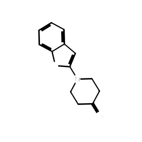 O=C1CCN(c2cc3ccccc3s2)CC1